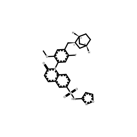 COc1cc(C[C@@H]2C[C@H]3CC[C@@H]2C3)c(F)cc1-n1c(=O)ccc2cc(S(=O)(=O)Nc3ccon3)ccc21